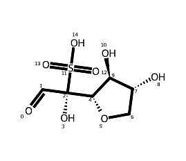 O=C[C@](O)([C@H]1OC[C@@H](O)[C@@H]1O)S(=O)(=O)O